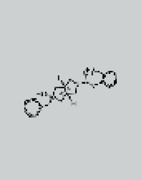 OC(Nc1ccccc1C(F)(F)F)N1C[C@@H]2C[C@@](O)(Cc3ccccc3)C[C@@H]2C1